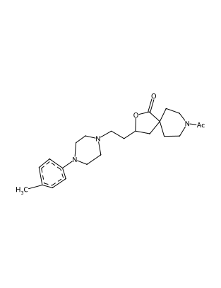 CC(=O)N1CCC2(CC1)CC(CCN1CCN(c3ccc(C)cc3)CC1)OC2=O